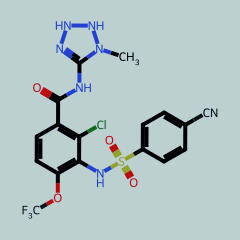 CN1NNN=C1NC(=O)c1ccc(OC(F)(F)F)c(NS(=O)(=O)c2ccc(C#N)cc2)c1Cl